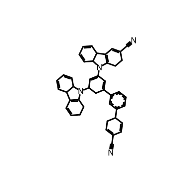 N#CC1=CCC(c2cccc(C3=CC(N4C5=C(C=C(C#N)CC5)C5C=CC=CC54)=CC(N4C5=C(C=CCC5)C5C=CC=CC54)C3)c2)C=C1